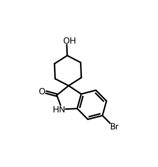 O=C1Nc2cc(Br)ccc2C12CCC(O)CC2